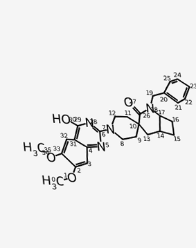 COc1cc2nc(N3CCC4(CC3)CC3CCC3N(Cc3ccccc3)C4=O)nc(O)c2cc1OC